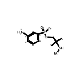 CCNC(C)(C)COP(=O)(CC)c1cccc(N)c1